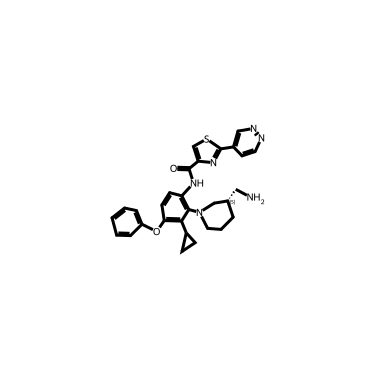 NC[C@@H]1CCCN(c2c(NC(=O)c3csc(-c4ccnnc4)n3)ccc(Oc3ccccc3)c2C2CC2)C1